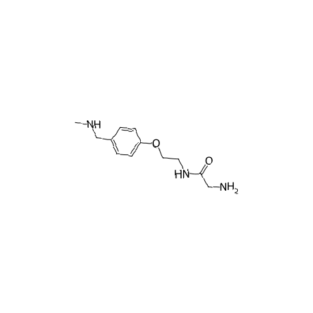 CNCc1ccc(OCCNC(=O)CN)cc1